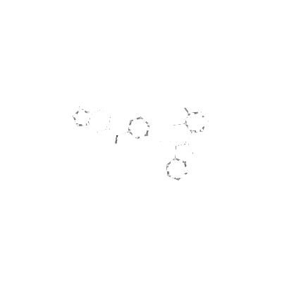 Cc1c(N2Cc3ccccc3C2COc2cccc(C(=O)N3CCn4nccc4C3)c2)cn[nH]c1=O